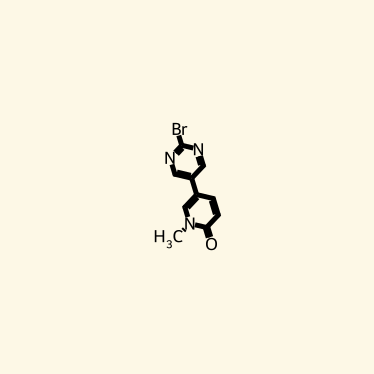 Cn1cc(-c2cnc(Br)nc2)ccc1=O